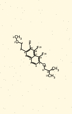 COCCc1cc2ccc(OCC(C)C)c(F)c2c(F)c1F